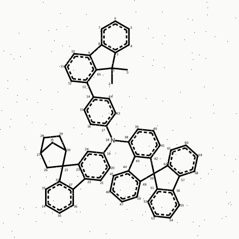 CC1(C)c2ccccc2-c2cccc(-c3ccc(N(c4ccc5c(c4)C4(CC6CCC4C6)c4ccccc4-5)c4cccc5c4-c4ccccc4C54c5ccccc5-c5ccccc54)cc3)c21